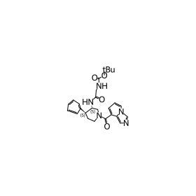 CC(C)(C)OC(=O)NCC(=O)N[C@@H]1CN(C(=O)c2cccn3cncc23)CC[C@H]1c1ccccc1